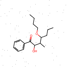 CCCCOC(CCC)C(C)C(O)C(=O)c1ccccc1